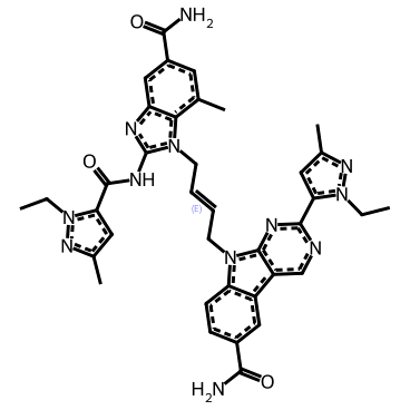 CCn1nc(C)cc1C(=O)Nc1nc2cc(C(N)=O)cc(C)c2n1C/C=C/Cn1c2ccc(C(N)=O)cc2c2cnc(-c3cc(C)nn3CC)nc21